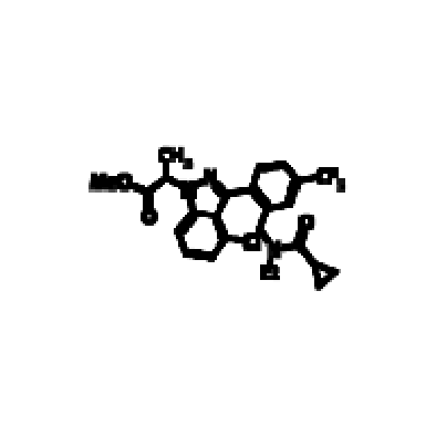 CCN(Cc1cc(C(F)(F)F)ccc1-c1nn(C(C)C(=O)OC)c2cccc(Cl)c12)C(=O)C1CC1